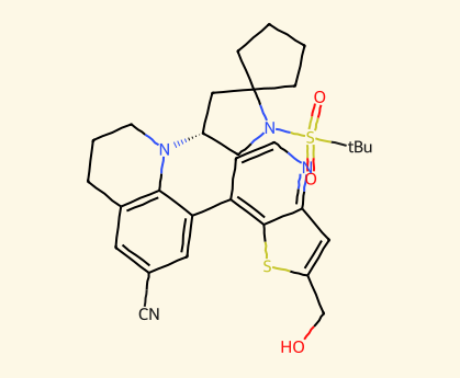 CC(C)(C)S(=O)(=O)N1C[C@H](N2CCCc3cc(C#N)cc(-c4ccnc5cc(CO)sc45)c32)CC12CCCC2